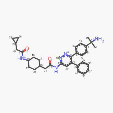 CC(C)(N)c1ccc(-c2nnc(NC(=O)CC3CCC(NC(=O)CC4CC4)CC3)cc2-c2ccccc2)cc1